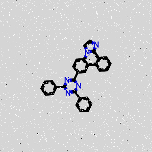 c1ccc(-c2nc(-c3ccccc3)nc(-c3ccc4c(c3)c3ccccc3c3nccn43)n2)cc1